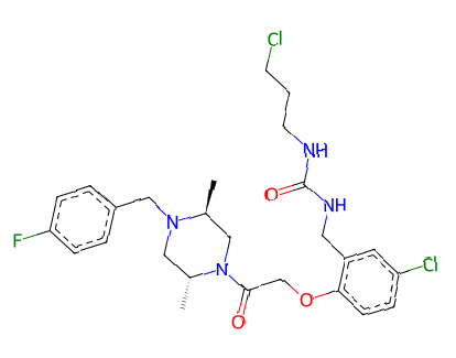 C[C@@H]1CN(Cc2ccc(F)cc2)[C@@H](C)CN1C(=O)COc1ccc(Cl)cc1CNC(=O)NCCCCl